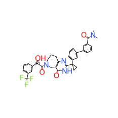 CN(C)C(=O)c1cccc(-c2cccc(C3(c4nc5c(c(=O)[nH]4)CN(C(=O)[C@H](O)c4cccc(C(F)(F)F)c4)CCC5)CC3)c2)c1